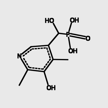 Cc1ncc(C(O)P(=O)(O)O)c(C)c1O